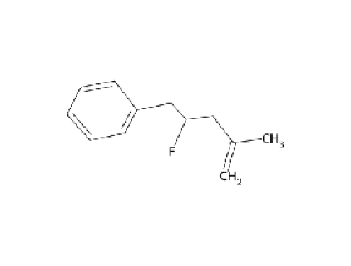 C=C(C)CC(F)Cc1ccccc1